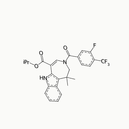 CC(C)OC(=O)C1=CN(C(=O)c2ccc(C(F)(F)F)c(F)c2)CC(C)(C)c2c1[nH]c1ccccc21